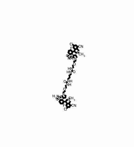 CN1Cc2c(C#N)cc(Cl)cc2C(c2c(F)ccc(S(N)(=O)=O)c2[C@H]2CCN(CCOCCNC(=O)NCCCCNC(=O)NCCOCCN3CC[C@H](c4c(S(N)(=O)=O)ccc(F)c4C4CN(C)Cc5c(C#N)cc(Cl)cc54)C3)C2)C1